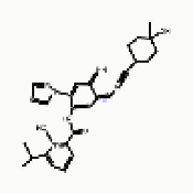 CC(C)c1cccc(C(=O)NC2=C/C(=C/[N+]#CC3CCC(C)(O)CC3)C(=N)C=C2n2cccn2)[n+]1O